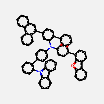 c1ccc(-c2ccc(-c3cc4ccccc4c4ccccc34)cc2N(c2ccc(-c3ccccc3-n3c4ccccc4c4ccccc43)cc2)c2ccc(-c3cccc4c3oc3ccccc34)cc2)cc1